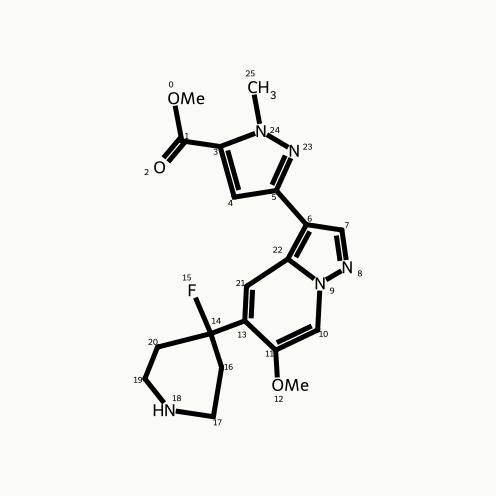 COC(=O)c1cc(-c2cnn3cc(OC)c(C4(F)CCNCC4)cc23)nn1C